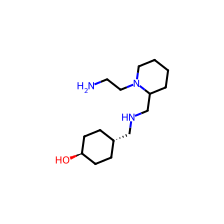 NCCN1CCCCC1CNC[C@H]1CC[C@H](O)CC1